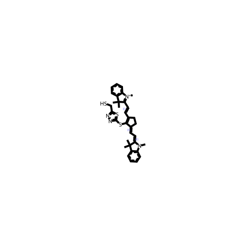 CN1/C(=C/C=C2\CCC(/C=C/C3=[N+](C)c4ccccc4C3(C)C)=C2Sc2nnc(CS)s2)C(C)(C)c2ccccc21